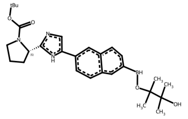 CC(C)(C)OC(=O)N1CCC[C@H]1c1ncc(-c2ccc3cc(BOC(C)(C)C(C)(C)O)ccc3c2)[nH]1